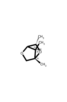 C[C@@H]1O[C@]2(C)COC1[C@H]2C